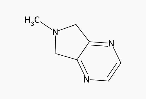 CN1Cc2nccnc2C1